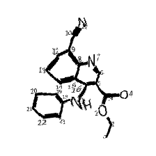 CCOC(=O)c1cnc2c(C#N)cccc2c1Nc1ccccc1